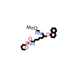 COCCNC/C(=C\CCCCC(=O)NOC1CCCCO1)COc1cccc2ccccc12